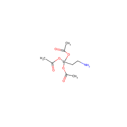 CC(=O)O[Si](CCN)(OC(C)=O)OC(C)=O